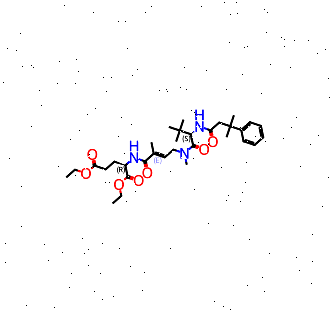 CCOC(=O)CC[C@@H](NC(=O)/C(C)=C/CN(C)C(=O)[C@@H](NC(=O)CC(C)(C)c1ccccc1)C(C)(C)C)C(=O)OCC